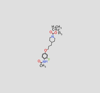 CC(=O)Nc1ccc(OCCCC2CCN(C(=O)OC(C)(C)C)CC2)cc1F